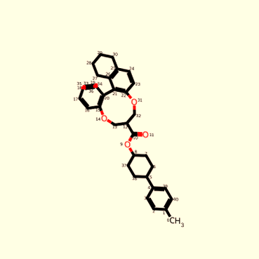 Cc1ccc(C2CCC(OC(=O)C3COc4ccc5c(c4-c4c(ccc6c4CCCC6)OC3)CCCC5)CC2)cc1